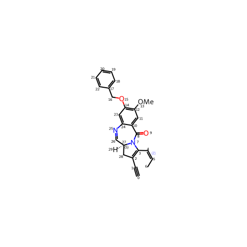 C#CC1=C(/C=C\C)N2C(=O)c3cc(OC)c(OCc4ccccc4)cc3N=C[C@@H]2C1